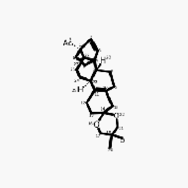 CC(=O)[C@@]12C=CC3(CC1)[C@@H]1CCC4=C(CCC5(C4)OCC(C)(C)CO5)[C@H]1CC[C@@]32C